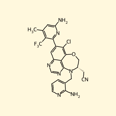 Cc1cc(N)nc(-c2cc3ncnc4c3c(c2Cl)OC[C@H](CC#N)N4Cc2cccnc2N)c1C(F)(F)F